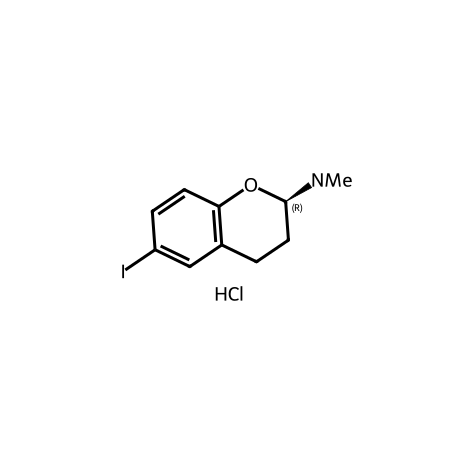 CN[C@H]1CCc2cc(I)ccc2O1.Cl